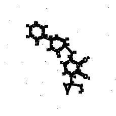 O=c1c(=O)n(C2(CF)CC2)ccn1Cc1ccc(-c2ccccn2)cn1